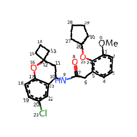 COc1cccc(CC(=O)NC2CC3(CCC3)Oc3ccc(Cl)cc32)c1OC1CCCC1